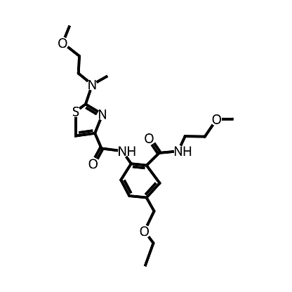 CCOCc1ccc(NC(=O)c2csc(N(C)CCOC)n2)c(C(=O)NCCOC)c1